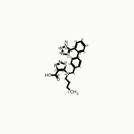 CCCCN(Cc1ccc(-c2ccccc2-c2nnn[nH]2)cc1)c1snnc1C(=O)O